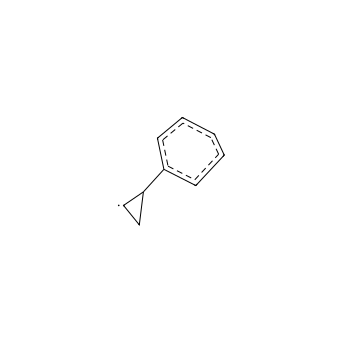 [CH]1CC1c1ccccc1